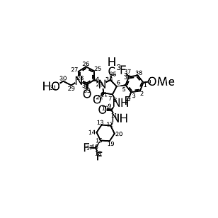 COc1cc(F)c([C@H]2C(NC(=O)N[C@H]3CC[C@H](C(F)F)CC3)C(=O)N(c3cccn(CCO)c3=O)[C@H]2C)c(F)c1